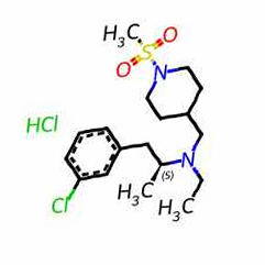 CCN(CC1CCN(S(C)(=O)=O)CC1)[C@@H](C)Cc1cccc(Cl)c1.Cl